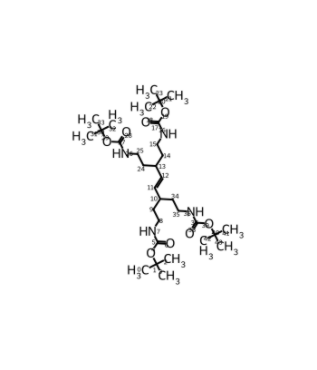 CC(C)(C)OC(=O)NCCC(/C=C/C(CCNC(=O)OC(C)(C)C)CCNC(=O)OC(C)(C)C)CCNC(=O)OC(C)(C)C